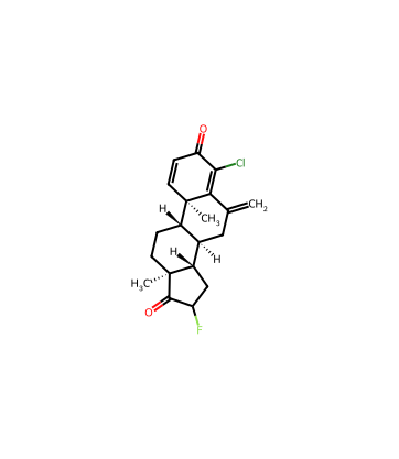 C=C1C[C@@H]2[C@H](CC[C@]3(C)C(=O)C(F)C[C@@H]23)[C@@]2(C)C=CC(=O)C(Cl)=C12